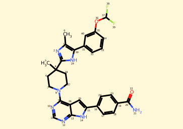 Cc1nc(C2(C)CCN(c3ncnc4[nH]c(-c5ccc(C(N)=O)cc5)cc34)CC2)[nH]c1-c1cccc(OC(F)F)c1